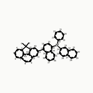 CC1(C)c2cccc3ccc4cc(-c5ccc(N(c6ccccc6)c6ccc7ccccc7c6)c6ccccc56)cc1c4c23